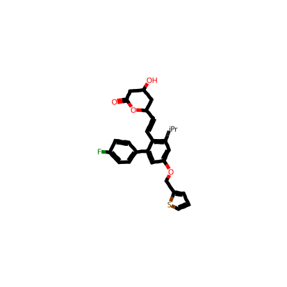 CC(C)c1cc(OCc2cccs2)cc(-c2ccc(F)cc2)c1C=CC1CC(O)CC(=O)O1